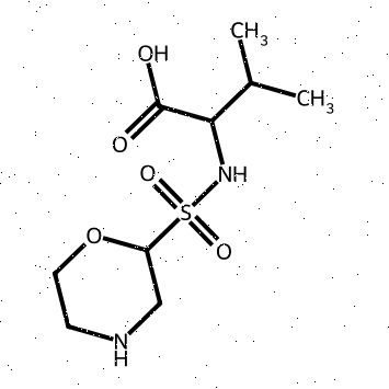 CC(C)C(NS(=O)(=O)C1CNCCO1)C(=O)O